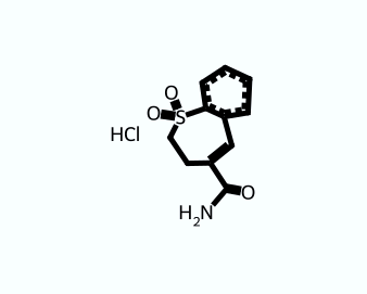 Cl.NC(=O)C1=Cc2ccccc2S(=O)(=O)CC1